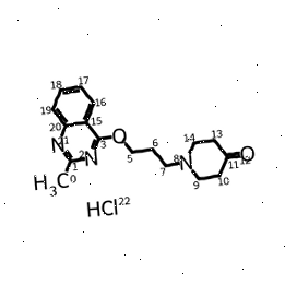 Cc1nc(OCCCN2CCC(=O)CC2)c2ccccc2n1.Cl